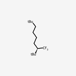 CC(C)(C)CCCC[C@H](C(C)(C)C)C(F)(F)F